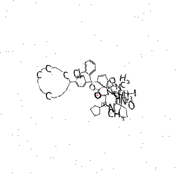 CN(C)C(=O)[C@H](CC(=O)OC(c1ccccc1)(c1ccc(C2CCCCCCCCCCCCC2)cc1)c1ccccc1Cl)N(C)C(=O)[C@H](C1CCCC1)N(C)C(=O)C1(NC(=O)CI)CCCC1